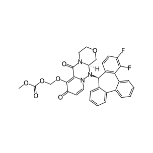 COC(=O)OCOc1c2n(ccc1=O)N([C@@H]1c3ccccc3-c3ccccc3-c3c1ccc(F)c3F)[C@@H]1COCCN1C2=O